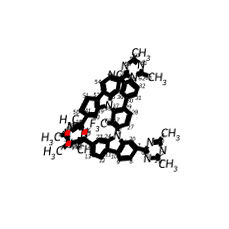 Cc1nc(C)nc(-c2ccc3c4ccc(-c5nc(C)nc(C)n5)cc4n(-c4ccc(-c5cccc(C#N)c5)c(-n5c6cc(-c7nc(C)nc(C)n7)ccc6c6ccc(-c7nc(C)nc(C)n7)cc65)c4C(F)(F)F)c3c2)n1